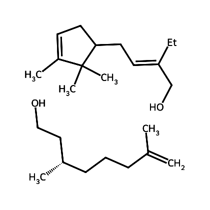 C=C(C)CCC[C@H](C)CCO.CC/C(=C\CC1CC=C(C)C1(C)C)CO